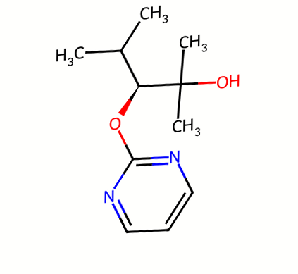 CC(C)[C@H](Oc1ncccn1)C(C)(C)O